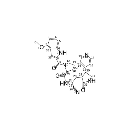 COc1cccc2[nH]c(C(=O)N3C[C@H](c4cccnc4)C[C@H]3C(=O)N[C@H](C#N)CC3CCNC3=O)cc12